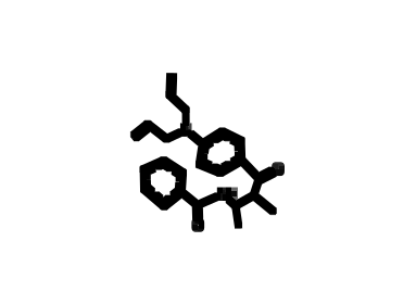 C=CCN(CC=C)c1ccc(C(=O)C(C)C(C)NC(=O)c2ccccc2)cc1